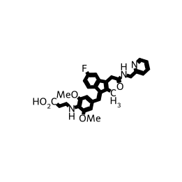 COc1cc(/C=C2/C(C)=C(CC(=O)NCc3ccccn3)c3cc(F)ccc32)cc(OC)c1NCCC(=O)O